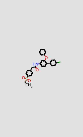 CCS(=O)(=O)c1ccc(CC(=O)Nc2ccc(-c3ccc(F)cc3)c(Oc3ccccc3)c2)cc1